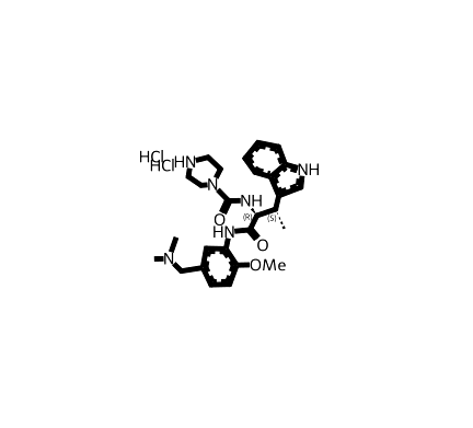 COc1ccc(CN(C)C)cc1NC(=O)[C@H](NC(=O)N1CCNCC1)[C@@H](C)c1c[nH]c2ccccc12.Cl.Cl